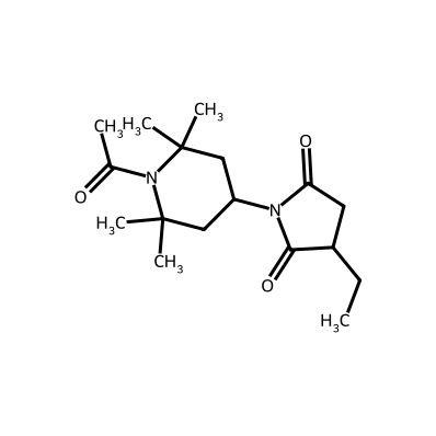 CCC1CC(=O)N(C2CC(C)(C)N(C(C)=O)C(C)(C)C2)C1=O